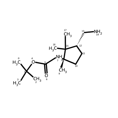 CC(C)(C)OC(=O)N[C@@]1(C)CC[C@@H](CN)C1(C)C